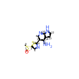 C[S+]([O-])c1cnc(-c2cnc3[nH]ccc3c2N)s1